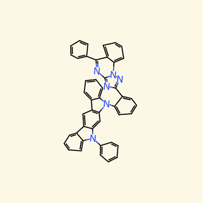 c1ccc(-c2nc3nc(-c4ccccc4-n4c5ccccc5c5cc6c7ccccc7n(-c7ccccc7)c6cc54)nn3c3ccccc23)cc1